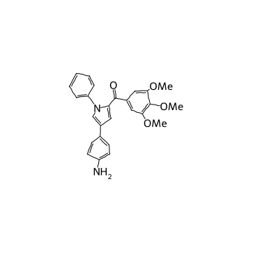 COc1cc(C(=O)c2cc(-c3ccc(N)cc3)cn2-c2ccccc2)cc(OC)c1OC